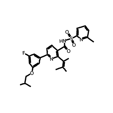 CC(C)=C(C)c1nc(-c2cc(F)cc(OCC(C)C)c2)ccc1C(=O)NS(=O)(=O)c1cccc(C)n1